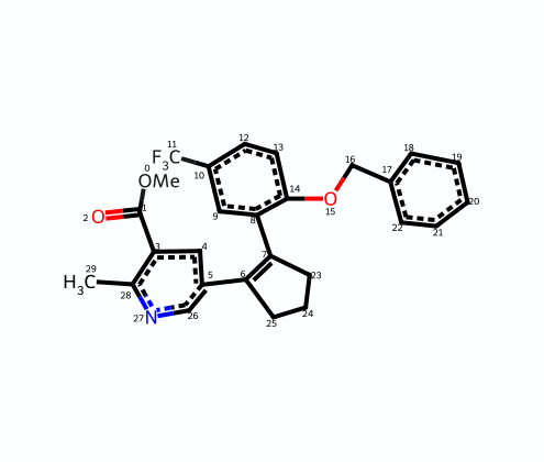 COC(=O)c1cc(C2=C(c3cc(C(F)(F)F)ccc3OCc3ccccc3)CCC2)cnc1C